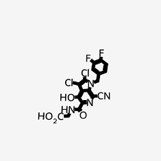 N#Cc1nc(C(=O)NCC(=O)O)c(O)c2c(Cl)c(Cl)n(Cc3ccc(F)c(F)c3)c12